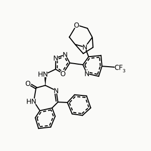 O=C1Nc2ccccc2C(c2ccccc2)=N[C@@H]1Nc1nnc(-c2ncc(C(F)(F)F)cc2N2C3CCC2COC3)o1